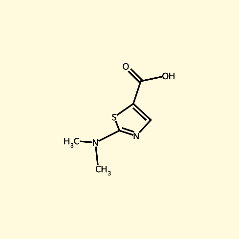 CN(C)c1ncc(C(=O)O)s1